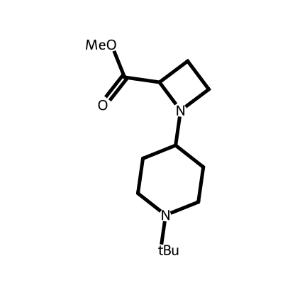 COC(=O)C1CCN1C1CCN(C(C)(C)C)CC1